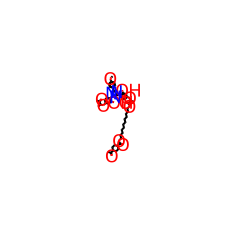 COc1ccc(-c2nc(-c3ccc(OC(C)C(C)=O)cc3O)nc(-c3ccc(OC(C)C(=O)OCCCCCCCCCCCCOC(=O)C4CCC(C(C)=O)CC4)cc3O)n2)cc1